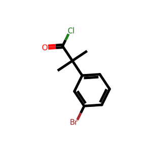 CC(C)(C(=O)Cl)c1cccc(Br)c1